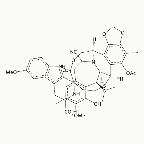 COc1ccc2[nH]c3c(c2c1)CC(C(=O)O)N[C@]31CCS[C@@H]2c3c(OC(C)=O)c(C)c4c(c3[C@H](COC1=O)N1C(C#N)Cc3cc(C)c(OC)c(O)c3[C@H](N(C)C)[C@H]21)OCO4